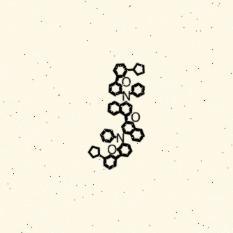 c1ccc(N(c2cc3c(oc4cc(N(c5ccccc5)c5cccc6c5oc5c(C7CCCC7)cccc56)c5ccccc5c43)c3ccccc23)c2cccc3c2oc2c(C4CCCC4)cccc23)cc1